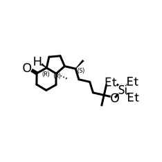 CC[Si](CC)(CC)OC(C)(C)CCC[C@H](C)C1CC[C@H]2C(=O)CCC[C@]12C